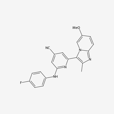 COc1ccc2nc(C)c(-c3cc(C#N)cc(Nc4ccc(F)cc4)n3)n2c1